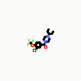 CCC(CC)N1CCN(C(=O)c2ccc(OC(F)(F)F)c(Cl)c2)CC1